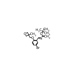 C=C(/N=C/c1cc(Br)ccc1OCC1(C)COC1)O[Si](C)(C)C